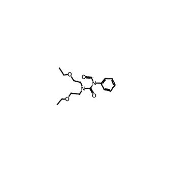 CCOCCN(CCOCC)C(=O)N([C]=O)c1ccccc1